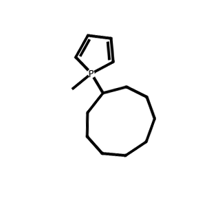 C[P]1(C2CCCCCCCC2)C=CC=C1